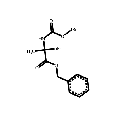 CCCC(C)(NC(=O)OC(C)(C)C)C(=O)OCc1ccccc1